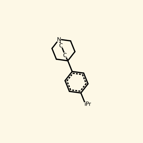 CC(C)c1ccc(C23CCN(CC2)CC3)cc1